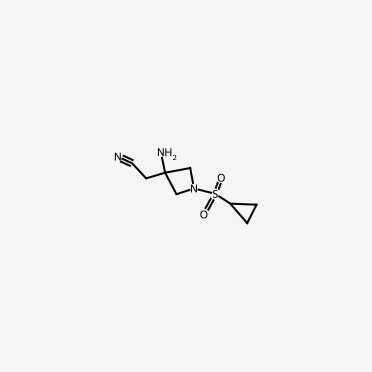 N#CCC1(N)CN(S(=O)(=O)C2CC2)C1